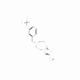 O=[N+]([O-])c1cn2c(n1)OCCN(Cc1cccc(OC(F)(F)F)c1)CC2